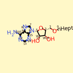 CCCCCCCOC[C@H]1O[C@@H](n2cnc3c(N)ncnc32)[C@H](O)[C@@H]1O